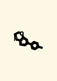 Cc1ccc(-c2ccc3c(c2)OCC=N3)cc1